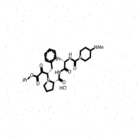 CNC1CCN(C(=O)N[C@H](C(=O)NC(=O)[C@@H]2CCCN2[C@@H](Cc2ccccc2)C(=O)C(=O)OC(C)C)C(C)C)CC1.Cl